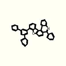 c1ccc(-c2cc(-c3ccccc3)cc(-c3cccc4c3oc3ccc5c(-c6ccccc6)nc6ccccc6c5c34)c2)cc1